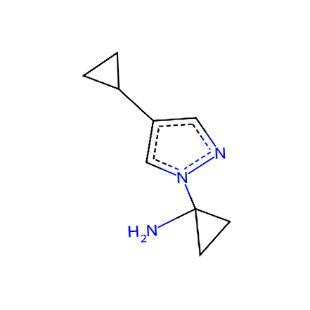 NC1(n2cc(C3CC3)cn2)CC1